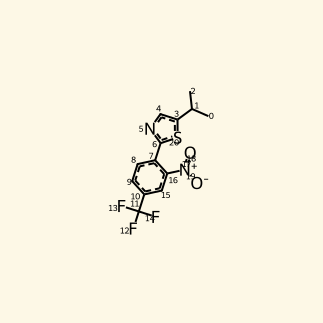 CC(C)c1cnc(-c2ccc(C(F)(F)F)cc2[N+](=O)[O-])s1